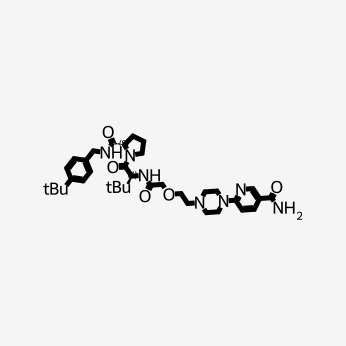 CC(C)(C)c1ccc(CNC(=O)[C@@H]2CCCN2C(=O)[C@@H](NC(=O)COCCN2CCN(c3ccc(C(N)=O)cn3)CC2)C(C)(C)C)cc1